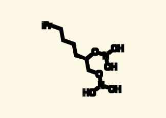 CC(C)CCCC[C@H](CON(O)O)ON(O)O